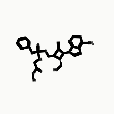 C=C1[C@@H](n2ccc3c(N)ncnc32)[C@H](CO)[C@H]1COP(=O)(NCC(=O)OC(C)C)Oc1ccccc1